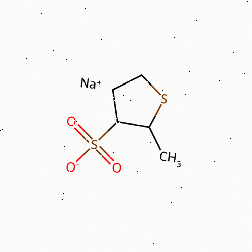 CC1SCCC1S(=O)(=O)[O-].[Na+]